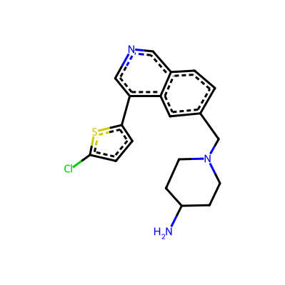 NC1CCN(Cc2ccc3cncc(-c4ccc(Cl)s4)c3c2)CC1